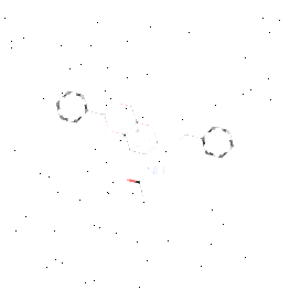 CC(=O)N[C@H]1[C@@H](OCc2ccccc2)O[C@@H]2COC(c3ccccc3)O[C@H]2[C@H]1O